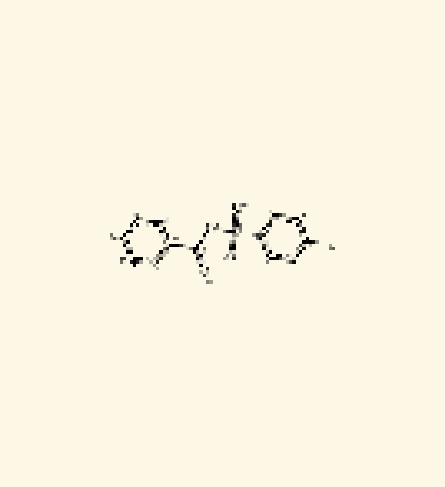 Cc1ccc(S(=O)(=O)OC(=O)c2cccnc2)cc1